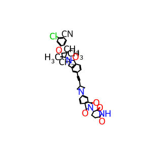 CC1(C)[C@H](Oc2ccc(C#N)c(Cl)c2)C(C)(C)[C@H]1N1Cc2cc(C#CC3CN(c4ccc5c(c4)C(=O)N(C4CCC(=O)NC4=O)C5=O)C3)ccc2C1=O